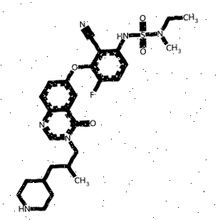 CCN(C)S(=O)(=O)Nc1ccc(F)c(Oc2ccc3ncn(CC(C)CC4CCNCC4)c(=O)c3c2)c1C#N